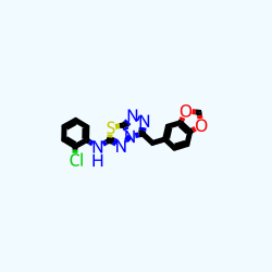 Clc1ccccc1Nc1nn2c(Cc3ccc4c(c3)OCO4)nnc2s1